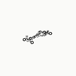 CCCSc1nc(N2CCOC(C(=O)OC(=O)C[C@H]3CCN(c4ccc(C(=O)NC5CCCCC5)c(SC5CCCCC5)n4)C3)C2)ccc1C(=O)NC1CCCCC1